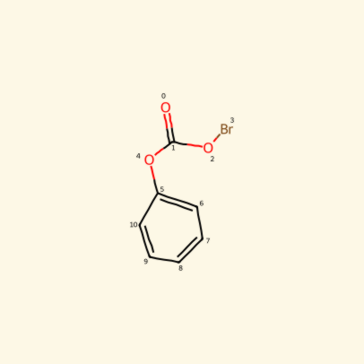 O=C(OBr)Oc1ccccc1